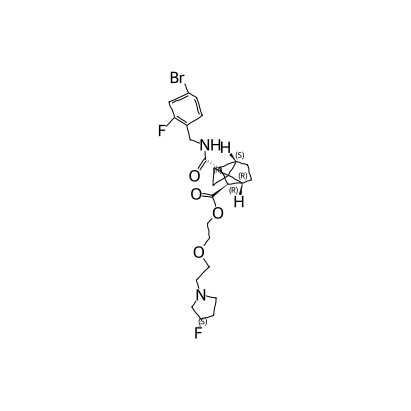 O=C(OCCOCCN1CC[C@H](F)C1)[C@H]1[C@H](C(=O)NCc2ccc(Br)cc2F)[C@@H]2CC[C@H]1C21CC1